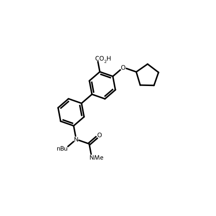 CCCCN(C(=O)NC)c1cccc(-c2ccc(OC3CCCC3)c(C(=O)O)c2)c1